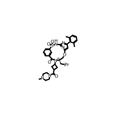 Cc1cccc(C)c1-c1cc2nc(n1)NS(=O)(=O)c1cccc(c1)C(=O)N(C1CC(C(=O)N3CCN(C)CC3)C1)[C@H](CC(C)C)CO2